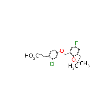 CC1(C)Cc2cc(F)cc(COc3ccc(CCC(=O)O)c(Cl)c3)c2O1